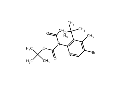 Cc1c(Br)cnc(N(C(=O)O)C(=O)OC(C)(C)C)c1C(C)(C)C